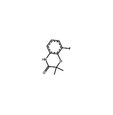 CC1(C)Oc2c(F)cccc2NC1=O